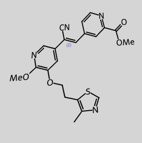 COC(=O)c1cc(/C=C(\C#N)c2cnc(OC)c(OCCc3scnc3C)c2)ccn1